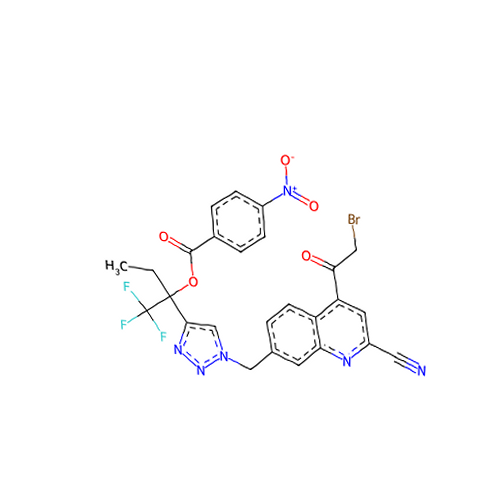 CCC(OC(=O)c1ccc([N+](=O)[O-])cc1)(c1cn(Cc2ccc3c(C(=O)CBr)cc(C#N)nc3c2)nn1)C(F)(F)F